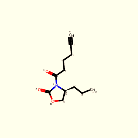 C#CCCCC(=O)N1C(=O)OC[C@@H]1CCC